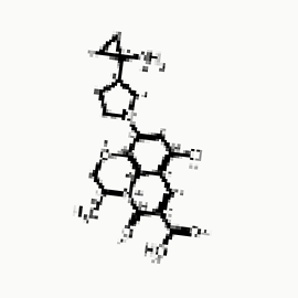 C[C@H]1COc2c(N3CC[C@@H](C4(N)CC4)C3)cc(Cl)c3cc(C(=O)O)c(=O)n1c23